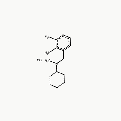 CN(Cc1cccc(C(F)(F)F)c1N)C1CCCCC1.Cl